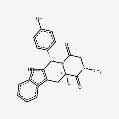 CN1CC(=O)N2[C@@H](c3ccc(O)cc3)c3[nH]c4ccccc4c3C[C@@H]2C1=O